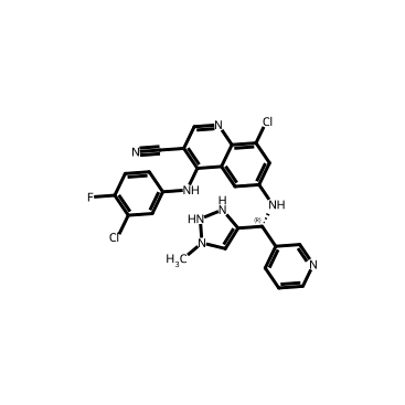 CN1C=C([C@H](Nc2cc(Cl)c3ncc(C#N)c(Nc4ccc(F)c(Cl)c4)c3c2)c2cccnc2)NN1